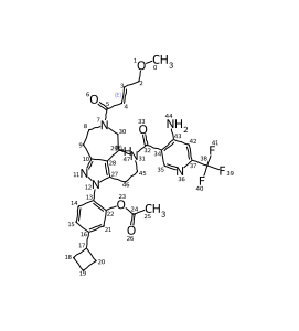 COC/C=C/C(=O)N1CCc2nn(-c3ccc(C4CCC4)cc3OC(C)=O)c3c2[C@H](C1)N(C(=O)c1cnc(C(F)(F)F)cc1N)CC3